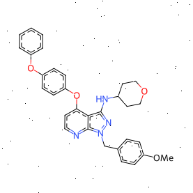 COc1ccc(Cn2nc(NC3CCOCC3)c3c(Oc4ccc(Oc5ccccc5)cc4)ccnc32)cc1